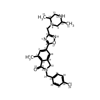 Cc1cc(-c2nc(CN3CC(C)NCC3C)no2)cc2c1C(=O)N(Cc1ccc(Cl)cc1)C2